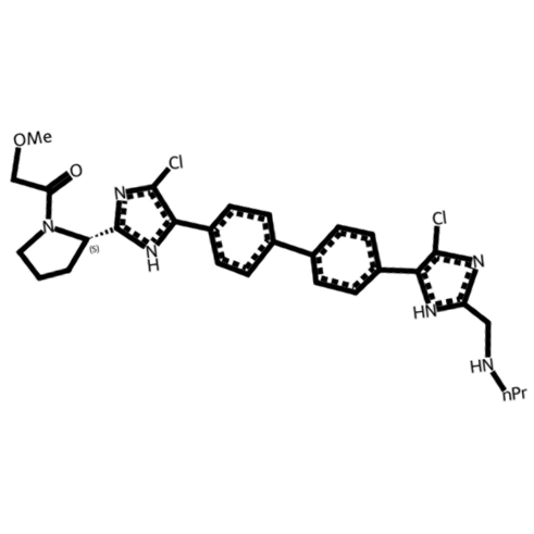 CCCNCc1nc(Cl)c(-c2ccc(-c3ccc(-c4[nH]c([C@@H]5CCCN5C(=O)COC)nc4Cl)cc3)cc2)[nH]1